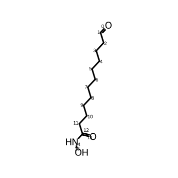 O=CCCCCCCCCCCC(=O)NO